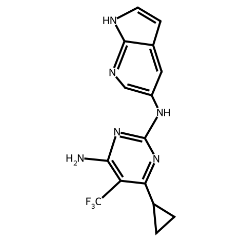 Nc1nc(Nc2cnc3[nH]ccc3c2)nc(C2CC2)c1C(F)(F)F